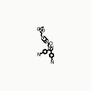 CCS(=O)(=O)CCCN1CC2CC(C1)CN(C(=O)Cn1ncc(-c3ccc(C#N)cc3)c1-c1ccc(C#N)cc1)C2